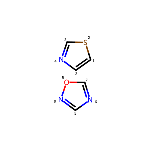 c1cscn1.c1ncon1